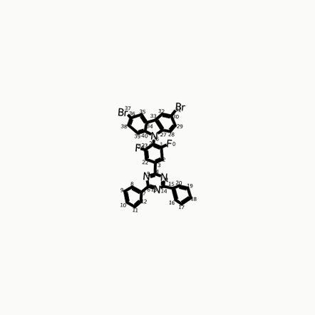 Fc1cc(-c2nc(-c3ccccc3)nc(-c3ccccc3)n2)cc(F)c1-n1c2ccc(Br)cc2c2cc(Br)ccc21